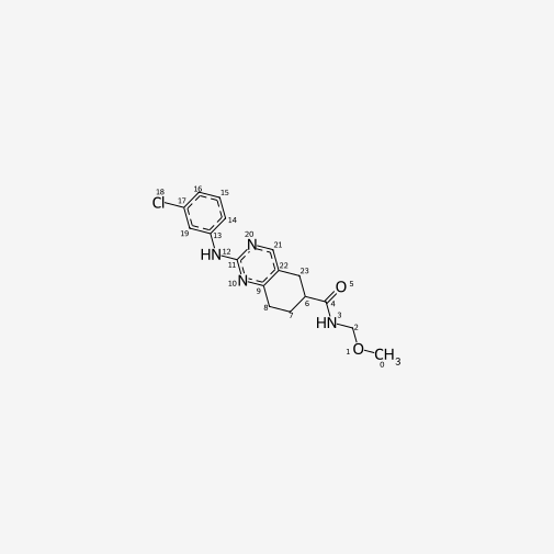 COCNC(=O)C1CCc2nc(Nc3cccc(Cl)c3)ncc2C1